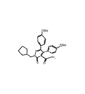 COc1ccc(-c2nn(CC3CCCC3)c(=O)c(C(N)=O)c2-c2ccc(OC)cc2)cc1